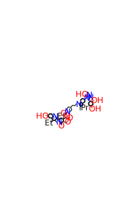 CCc1c2c(nc3ccc(O)cc13)-c1cc3c(c(=O)n1C2)COC(=O)C3(CC)OC(=O)N1CCC(CCCn2ccc3cc(-n4c(O)nnc4-c4cc(C(C)C)c(O)cc4O)ccc32)CC1